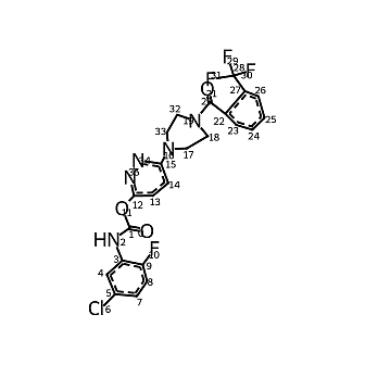 O=C(Nc1cc(Cl)ccc1F)Oc1ccc(N2CCN(C(=O)c3ccccc3C(F)(F)F)CC2)nn1